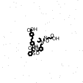 CCC(CC)N(CCc1cccc(C(=O)NC2SC3=C(CCCC3)C2C(=O)Nc2ccc(CCc3ccc(C(=O)O)cc3)cc2)c1)CCN(C)C(=O)CCC(=O)O